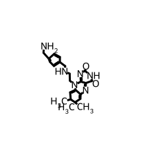 CC1C=c2c(nc3c(=O)[nH]c(=O)nc-3n2CCNCc2ccc(CN)cc2)=CC1(C)C